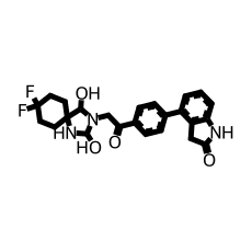 O=C1Cc2c(cccc2-c2ccc(C(=O)CN3C(O)NC4(CCC(F)(F)CC4)C3O)cc2)N1